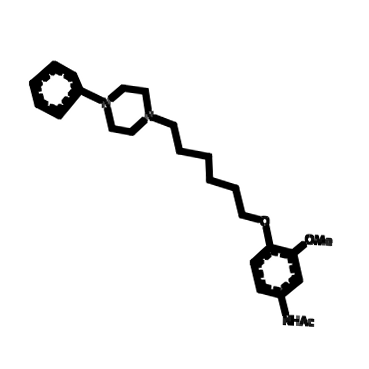 COc1cc(NC(C)=O)ccc1OCCCCCCN1CCN(c2ccccc2)CC1